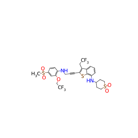 CS(=O)(=O)c1ccc(NCC#Cc2sc3c(NC4CCS(=O)(=O)CC4)cccc3c2CC(F)(F)F)c(OCC(F)(F)F)c1